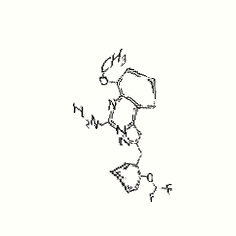 COc1cccc2c1nc(N)n1nc(Cc3ccccc3OC(F)F)cc21